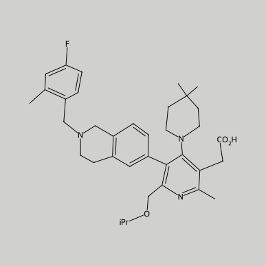 Cc1cc(F)ccc1CN1CCc2cc(-c3c(COC(C)C)nc(C)c(CC(=O)O)c3N3CCC(C)(C)CC3)ccc2C1